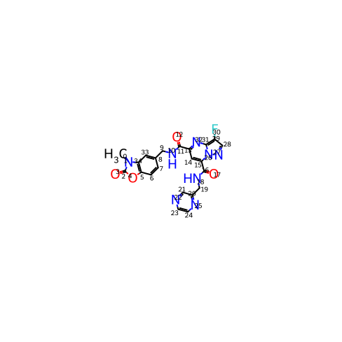 Cn1c(=O)oc2ccc(CNC(=O)c3cc(C(=O)NCc4cnccn4)n4ncc(F)c4n3)cc21